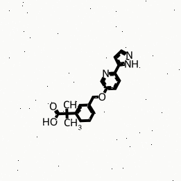 CC(C)(C(=O)O)C1=CC(COc2ccc(-c3ccn[nH]3)nc2)=CCC1